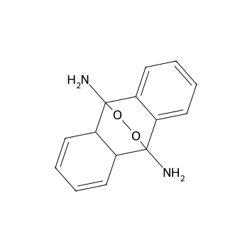 NC12OOC(N)(c3ccccc31)C1C=CC=CC12